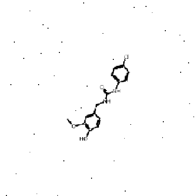 COc1cc(CNC(=O)Nc2ccc(Cl)cc2)ccc1O